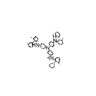 Cc1cccc(Nc2ccc(N(c3ccc(Nc4cccc(C)c4-c4ccccc4)cc3)c3ccc(Nc4cccc(C)c4-c4ccccc4)cc3)cc2)c1-c1ccccc1